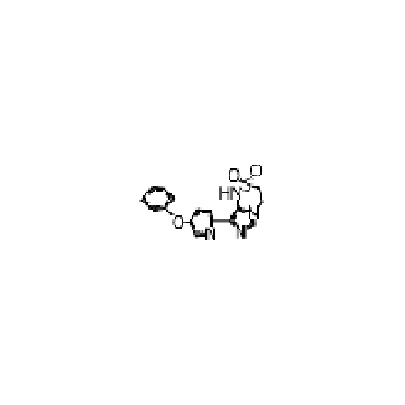 O=S1(=O)CCn2cnc(-c3ccc(Oc4ccccc4)cn3)c2N1